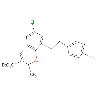 CCOC(=O)C1=Cc2cc(Cl)cc(CCc3ccc(F)cc3)c2OC1C(F)(F)F